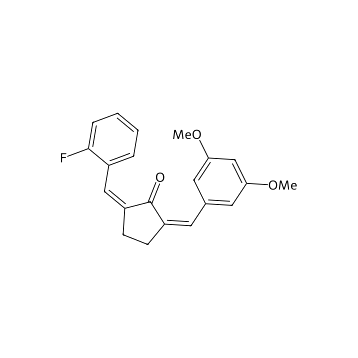 COc1cc(C=C2CCC(=Cc3ccccc3F)C2=O)cc(OC)c1